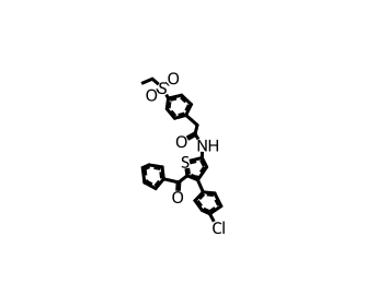 CCS(=O)(=O)c1ccc(CC(=O)Nc2cc(-c3ccc(Cl)cc3)c(C(=O)c3ccccc3)s2)cc1